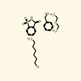 CCCCCCCCl.CCOCC.O=C1NS(=O)(=O)c2ccccc21.OCc1ccccc1